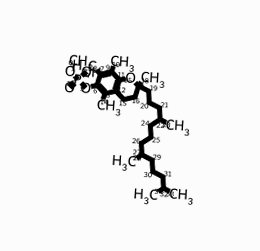 COP(=O)(O)Oc1c(C)c(C)c2c(c1C)CCC(C)(CCCC(C)CCCC(C)CCCC(C)C)O2